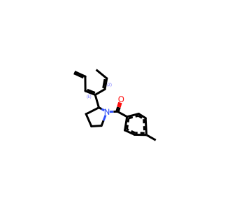 C=C/C=C(\C=C/C)C1CCCN1C(=O)c1ccc(C)cc1